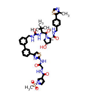 Cc1ncsc1-c1ccc(CNC(=O)[C@@H]2C[C@@H](O)CN2C(=O)[C@@H](NC(=O)NCc2cccc(-c3cccc(-c4csc(NC(=O)CNC(=O)c5ccn(S(C)(=O)=O)c5)n4)c3)c2)C(C)(C)C)cc1